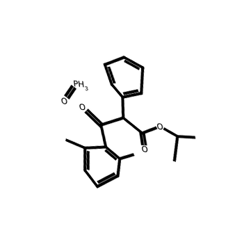 Cc1cccc(C)c1C(=O)C(C(=O)OC(C)C)c1ccccc1.O=[PH3]